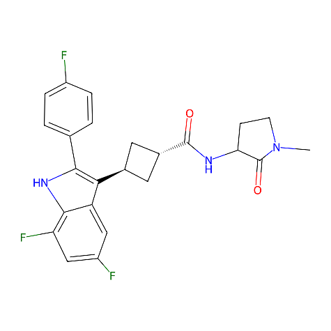 CN1CCC(NC(=O)[C@H]2C[C@H](c3c(-c4ccc(F)cc4)[nH]c4c(F)cc(F)cc43)C2)C1=O